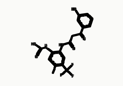 Cc1cc(NC(=O)O)c(NC(=O)CC(=O)c2cccc(O)c2)cc1C(F)(F)F